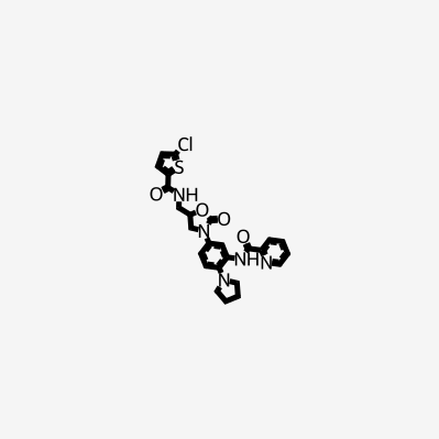 O=C(Nc1cc(N2CC(CNC(=O)c3ccc(Cl)s3)OC2=O)ccc1N1CCCC1)c1ccccn1